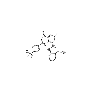 Cc1cc([C@@H](C)Nc2ccccc2CO)c2oc(-c3ccc(S(C)(=O)=O)cc3)cc(=O)c2c1